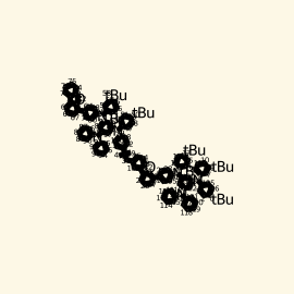 CC(C)(C)c1ccc(N2c3cc(C(C)(C)C)ccc3B3c4cc(C(C)(C)C)ccc4N(c4ccc(-c5cccc6c5oc5ccc(CC(C)(C)c7ccc(N8c9ccc(C(C)(C)C)cc9B9c%10ccc(C(C)(C)C)cc%10N(c%10ccc(-c%11cccc%12c%11oc%11ccccc%11%12)cc%10)c%10cc(N(c%11ccccc%11)c%11ccccc%11)cc8c%109)cc7)cc56)cc4)c4cc(N(c5ccccc5)c5ccccc5)cc2c43)cc1